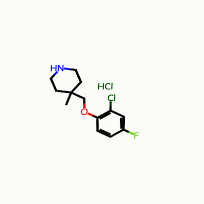 CC1(COc2ccc(F)cc2Cl)CCNCC1.Cl